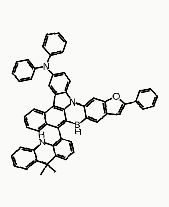 CC1(C)c2ccccc2Nc2c(-c3c4c5c(c6ccccc36)c3cc(N(c6ccccc6)c6ccccc6)ccc3n5-c3cc5oc(-c6ccccc6)cc5cc3B4)cccc21